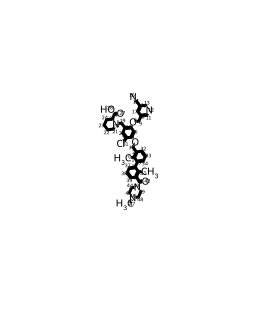 Cc1c(COc2cc(OCc3cncc(C#N)c3)c(CN3CCCCC3C(=O)O)cc2Cl)cccc1-c1cccc(C(=O)N2CCN(C)CC2)c1C